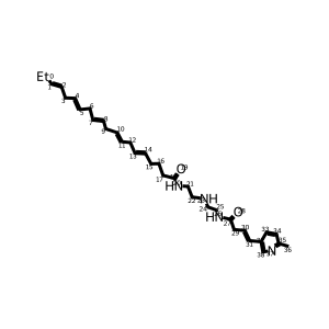 CCC=CCC=CCC=CCC=CCC=CCCCC(=O)NCCNCCNC(=O)CC=Cc1ccc(C)nc1